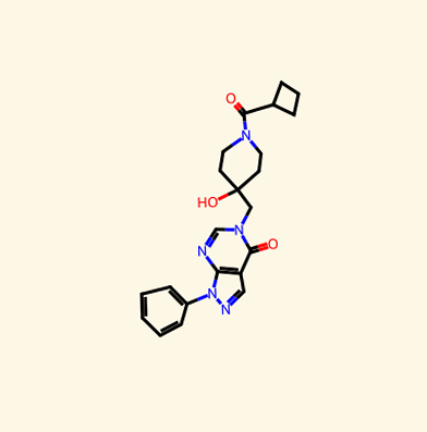 O=C(C1CCC1)N1CCC(O)(Cn2cnc3c(cnn3-c3ccccc3)c2=O)CC1